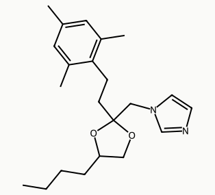 CCCCC1COC(CCc2c(C)cc(C)cc2C)(Cn2ccnc2)O1